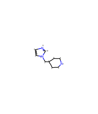 c1cn(CC2CC[N]CC2)cn1